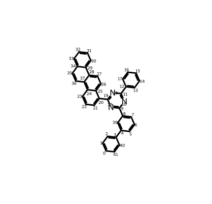 c1ccc(-c2cccc(-c3nc(-c4ccccc4)nc(-c4cccc5c4ccc4c6ccccc6ccc54)n3)c2)cc1